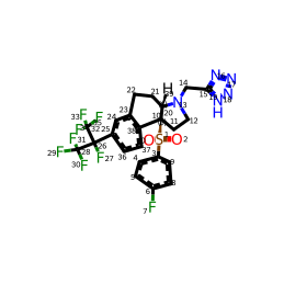 O=S(=O)(c1ccc(F)cc1)[C@]12CCN(Cc3nnn[nH]3)[C@H]1CCc1cc(C(F)(C(F)(F)F)C(F)(F)F)ccc12